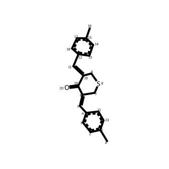 Cc1ccc(C=C2CSCC(=Cc3ccc(C)cc3)C2=O)cc1